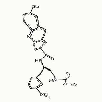 CC(C)(C)OC(=O)NC[C@H](NC(=O)c1cc2cc3cc(C(C)(C)C)ccc3nc2s1)c1cccc(N)c1